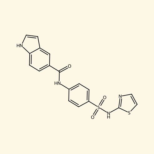 O=C(Nc1ccc(S(=O)(=O)Nc2nccs2)cc1)c1ccc2[nH]ccc2c1